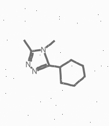 Cc1nnc(C2CCCCC2)n1C